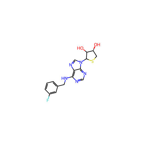 OC1C(n2cnc3c(NCc4cccc(F)c4)ncnc32)SC[C@@H]1O